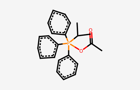 CC(=O)OP(c1ccccc1)(c1ccccc1)(c1ccccc1)C(C)C